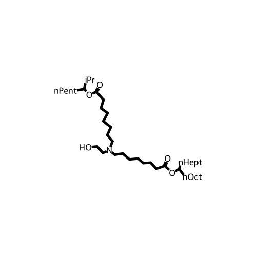 CCCCCCCCC(CCCCCCC)OC(=O)CCCCCCCN(CCO)CCCCCCCC(=O)OC(CCCCC)C(C)C